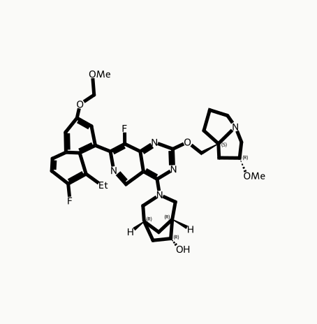 CCc1c(F)ccc2cc(OCOC)cc(-c3ncc4c(N5C[C@@H]6C[C@H](C5)[C@H](O)C6)nc(OC[C@@]56CCCN5C[C@H](OC)C6)nc4c3F)c12